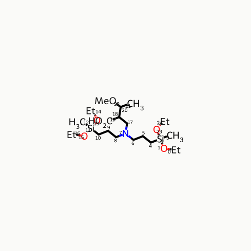 CCO[Si](C)(CCCN(CCC[Si](C)(OCC)OCC)CC(C(=O)O)C(C)OC)OCC